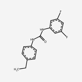 CCc1ccc(NC(=O)Nc2cc(F)cc(F)c2)cc1